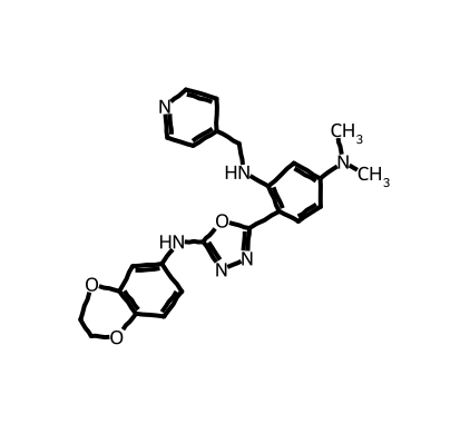 CN(C)c1ccc(-c2nnc(Nc3ccc4c(c3)OCCO4)o2)c(NCc2ccncc2)c1